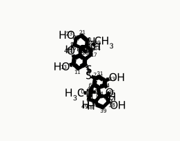 CN1CC[C@]23c4c5c(SSc6cc(O)c7c8c6C[C@@H]6[C@@H]9C=C[C@H](O)[C@H](O7)[C@]89CCN6C)cc(O)c4O[C@H]2[C@@H](O)C=C[C@H]3[C@H]1C5